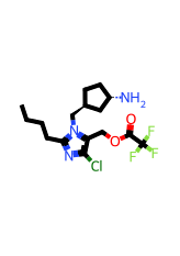 CCCCc1nc(Cl)c(COC(=O)C(F)(F)F)n1C[C@H]1CC[C@H](N)C1